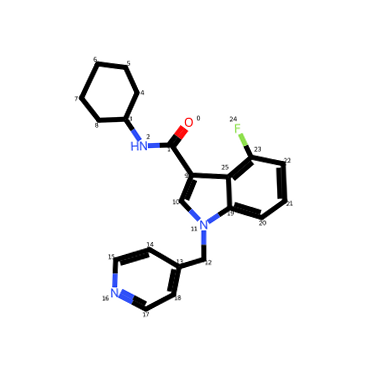 O=C(NC1CCCCC1)c1cn(Cc2ccncc2)c2cccc(F)c12